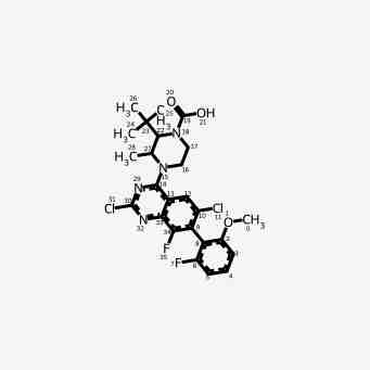 COc1cccc(F)c1-c1c(Cl)cc2c(N3CCN(C(=O)O)C(C(C)(C)C)C3C)nc(Cl)nc2c1F